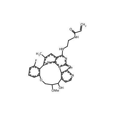 C=CC(=O)NCCNc1nc(=O)n2c3nc(c(C)cc13)-c1c(F)cccc1OCC(OC)C(O)c1ccnc(C(C)C)c1-2